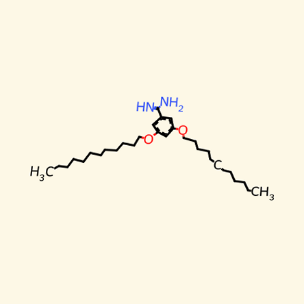 CCCCCCCCCCCCOc1cc(OCCCCCCCCCCCC)cc(C(=N)N)c1